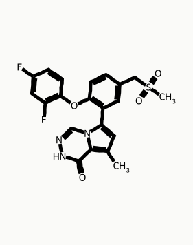 Cc1cc(-c2cc(CS(C)(=O)=O)ccc2Oc2ccc(F)cc2F)n2cn[nH]c(=O)c12